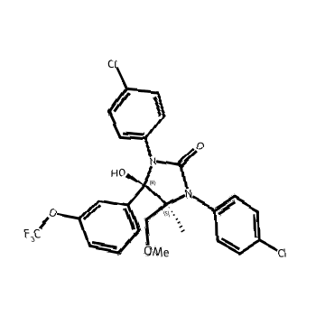 COC[C@]1(C)N(c2ccc(Cl)cc2)C(=O)N(c2ccc(Cl)cc2)[C@@]1(O)c1cccc(OC(F)(F)F)c1